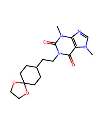 Cn1cnc2c1c(=O)n(CCC1CCC3(CC1)OCCO3)c(=O)n2C